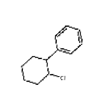 ClC1CCCC[C]1c1ccccc1